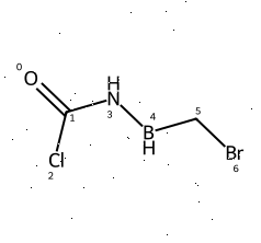 O=C(Cl)NBCBr